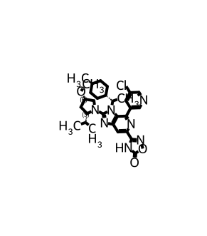 CO[C@@H]1C[C@@H](C(C)C)N(c2nc3cc(-c4noc(=O)[nH]4)nc(-c4cncc(Cl)c4)c3n2C(C)[C@H]2CC[C@H](C)CC2)C1